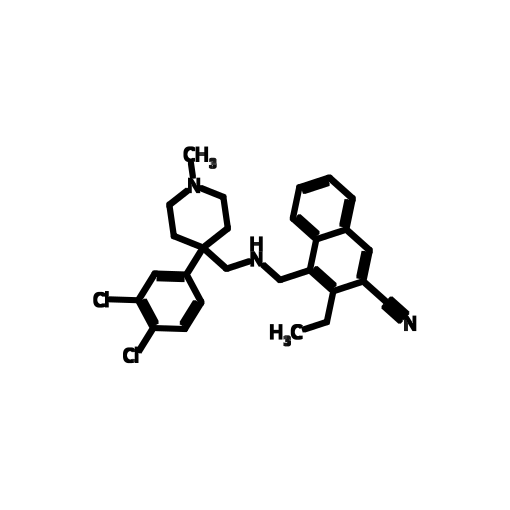 CCc1c(C#N)cc2ccccc2c1CNCC1(c2ccc(Cl)c(Cl)c2)CCN(C)CC1